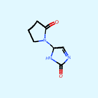 O=C1N=[C]C(N2CCCC2=O)N1